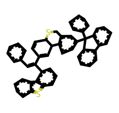 C1=CC2SCc3cc(C4(c5ccccc5)c5ccccc5-c5ccccc54)ccc3C2C=C1/C(=C\c1ccccc1)c1cccc2sc3ccccc3c12